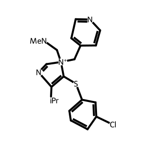 CNC[N+]1(Cc2ccncc2)C=NC(C(C)C)=C1Sc1cccc(Cl)c1